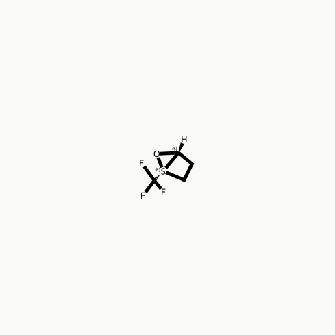 FC(F)(F)[S@@]12C[CH][C@H]1O2